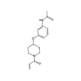 C=CC(=O)N1CCC(Oc2cccc(NC(C)=O)c2)CC1